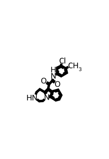 Cc1ccc(NC(=O)C(=O)c2c3n(c4ccccc24)CCNCC3)cc1Cl